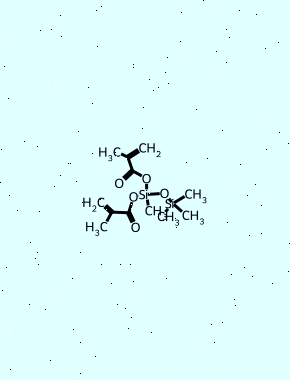 C=C(C)C(=O)O[Si](C)(OC(=O)C(=C)C)O[Si](C)(C)C